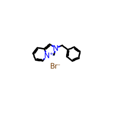 [Br-].c1ccc(Cn2cc3cccc[n+]3c2)cc1